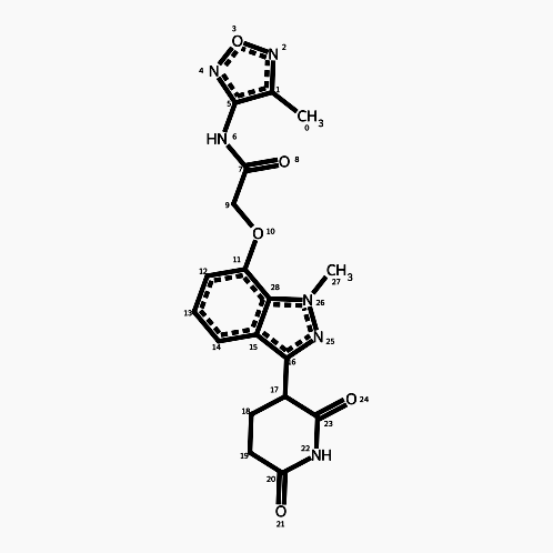 Cc1nonc1NC(=O)COc1cccc2c(C3CCC(=O)NC3=O)nn(C)c12